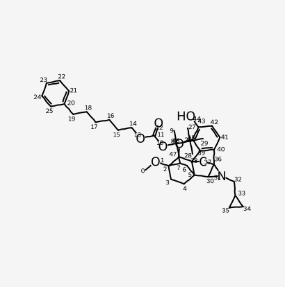 COC12CCC3(CC1C(C)(OC(=O)OCCCCCCc1ccccc1)C(C)(C)C)C1N(CC4CC4)C14CC31c3c4ccc(O)c3OC21